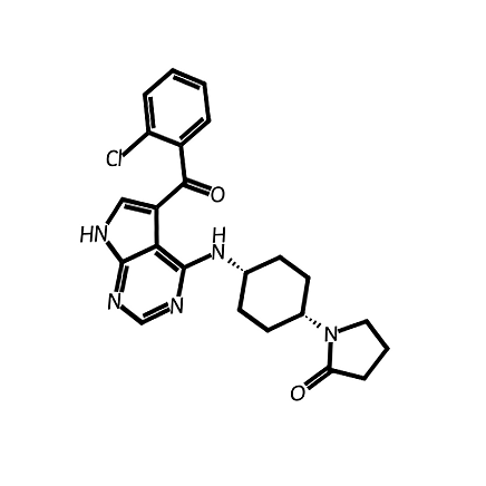 O=C(c1ccccc1Cl)c1c[nH]c2ncnc(N[C@H]3CC[C@@H](N4CCCC4=O)CC3)c12